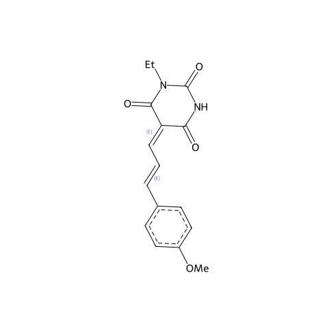 CCN1C(=O)NC(=O)/C(=C\C=C\c2ccc(OC)cc2)C1=O